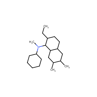 CCC1CCC2CC(C)C(C)CC2C1N(C)C1CCCCC1